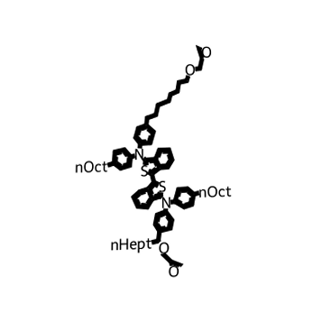 CCCCCCCCc1ccc(N(c2ccc(CCCCCCCCOCC3CO3)cc2)c2sc(-c3sc(N(c4ccc(CCCCCCCC)cc4)c4ccc(C(CCCCCCC)OCC5CO5)cc4)c4ccccc34)c3ccccc23)cc1